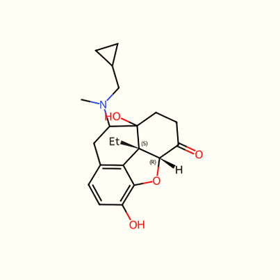 CC[C@]12c3c4ccc(O)c3O[C@H]1C(=O)CCC2(O)C(N(C)CC1CC1)C4